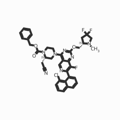 CN1CC(F)(F)C[C@H]1COc1nc(N2CCN(C(=O)OCc3ccccc3)[C@@H](CC#N)C2)c2cnc(-c3cccc4cccc(Cl)c34)c(F)c2n1